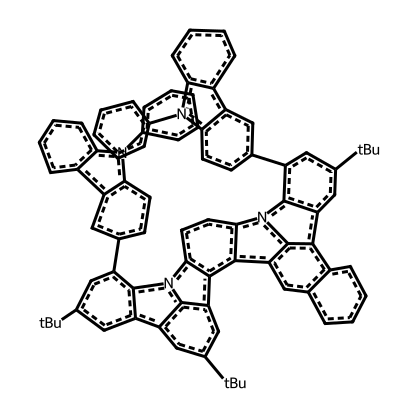 CC(C)(C)c1cc(-c2ccc3c(c2)c2ccccc2n3-c2ccccc2)c2c(c1)c1cc(C(C)(C)C)cc3c4c5c6cc7ccccc7c7c8cc(C(C)(C)C)cc(-c9ccc%10c(c9)c9ccccc9n%10-c9ccccc9)c8n(c5ccc4n2c13)c67